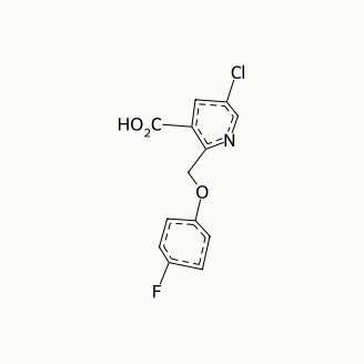 O=C(O)c1cc(Cl)cnc1COc1ccc(F)cc1